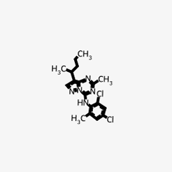 CCCC(C)c1cnn2c(Nc3c(C)cc(Cl)cc3Cl)nc(C)nc12